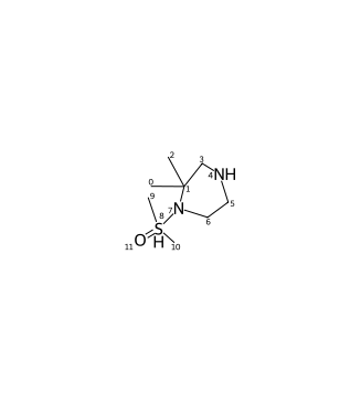 CC1(C)CNCCN1[SH](C)(C)=O